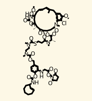 COc1cc2cc(c1Cl)N(C)C(=O)C[C@H](OC(=O)[C@H](C)N(C)C(=O)CCSC(=O)N(C)CCN(C)C(=O)OCc1ccc(OC(=O)NC3/C=C/CCCCC3)c(NCC(=O)ON3C(=O)CCC3=O)c1)[C@]1(C)OC1[C@H](C)[C@@H]1C[C@@](O)(NC(=O)O1)[C@H](OC)/C=C/C=C(\C)C2